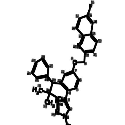 Cn1cc(-c2ccc(OCc3ccc4cc(F)ccc4n3)cc2C(c2ccccc2)C(C)(C)C)nn1